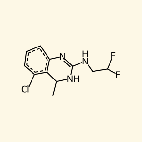 CC1NC(NCC(F)F)=Nc2cccc(Cl)c21